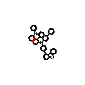 c1ccc(-c2ccc(N(c3ccc(-c4cccc5oc6ccccc6c45)cc3)c3ccccc3-c3ccccc3N(c3ccccc3)c3ccccc3)cc2)cc1